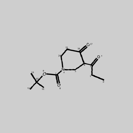 CCC(=O)C1CN(C(=O)OC(C)(C)C)CCC1=O